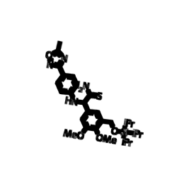 COc1cc(C(Nc2ccc(-c3noc(C)n3)cc2)C(N)=S)cc(CO[Si](C(C)C)(C(C)C)C(C)C)c1OC